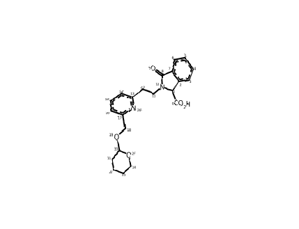 O=C(O)C1c2ccccc2C(=O)N1CCc1cccc(COC2CCCCO2)n1